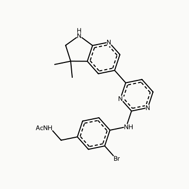 CC(=O)NCc1ccc(Nc2nccc(-c3cnc4c(c3)C(C)(C)CN4)n2)c(Br)c1